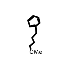 CO[CH]CCCc1ccccc1